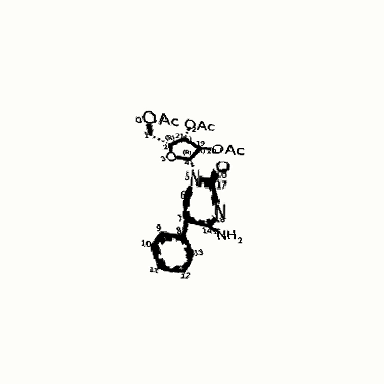 CC(=O)OC[C@H]1O[C@@H](n2cc(-c3ccccc3)c(N)nc2=O)[C@H](OC(C)=O)[C@H]1OC(C)=O